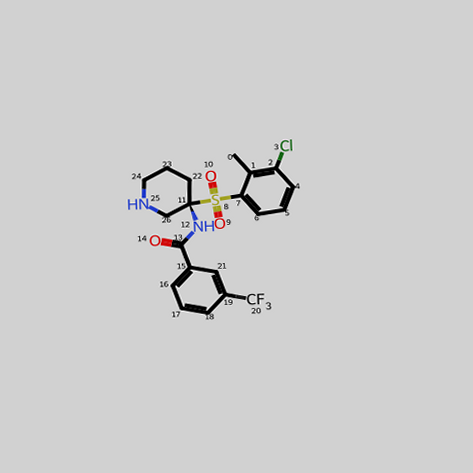 Cc1c(Cl)cccc1S(=O)(=O)[C@@]1(NC(=O)c2cccc(C(F)(F)F)c2)CCCNC1